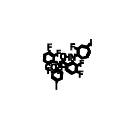 O=C(O)c1ccc(F)c(F)c1N(C(=O)c1ccc(F)c(F)c1NC1=C(F)C=C(I)C=CC1)c1ccc(I)cc1F